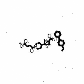 CCc1ccc(-c2ccccc2NC(=O)c2csc(C3CCN(C(=O)CCC(=O)N(C)C)CC3)n2)cc1